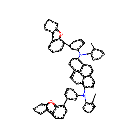 Cc1ccccc1N(c1cccc(-c2cccc3c2oc2ccccc23)c1)c1ccc2ccc3c(N(c4cccc(-c5cccc6c5oc5ccccc56)c4)c4ccccc4C)ccc4ccc1c2c43